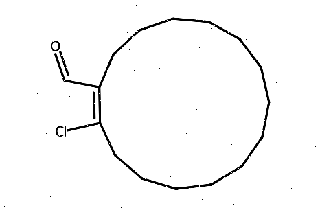 O=CC1=C(Cl)CCCCCCCCCCCCC1